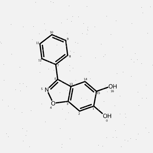 Oc1cc2onc(-c3ccccc3)c2cc1O